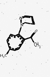 CC(=O)c1cc(C)ccc1N1CC=N1